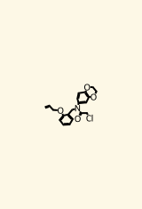 C=CCOc1ccccc1CN(C(=O)CCl)c1ccc2c(c1)OCCO2